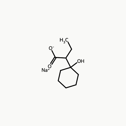 CCC(C(=O)[O-])C1(O)CCCCC1.[Na+]